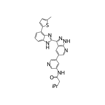 Cc1ccc(-c2cccc3[nH]c(-c4n[nH]c5ncc(-c6cncc(NC(=O)CC(C)C)c6)cc45)nc23)s1